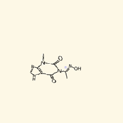 C/C(=N\O)n1c(=O)c2[nH]cnc2n(C)c1=O